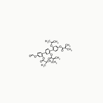 C=C(C)Oc1cc(OC(=O)C(=C)C)ccc1-c1ccc(-c2ccc(OC=O)cc2OC(=O)C(=C)C)cc1OC(=O)C(=C)C